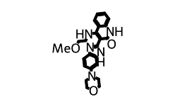 COCCNc1c(-c2nc3ccc(N4CCOCC4)cc3[nH]2)c(=O)[nH]c2ccccc12